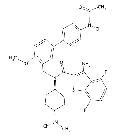 COc1ccc(-c2ccc(N(C)C(C)=O)cc2)cc1CN(C(=O)c1sc2c(F)ccc(F)c2c1N)[C@H]1CC[C@H](N(C)Cl)CC1